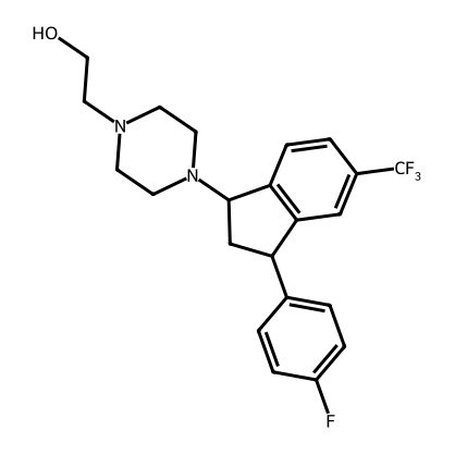 OCCN1CCN(C2CC(c3ccc(F)cc3)c3cc(C(F)(F)F)ccc32)CC1